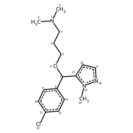 CN(C)CCCOC(c1ccc(Cl)cc1)c1ccnn1C